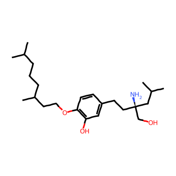 CC(C)CCCC(C)CCOc1ccc(CC[C@@](N)(CO)CC(C)C)cc1O